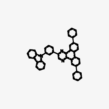 c1ccc(-c2ccc3c4ccc(-c5ccccc5)cc4c4nc(-c5cccc(-n6c7ccccc7c7ccccc76)c5)cnc4c3c2)cc1